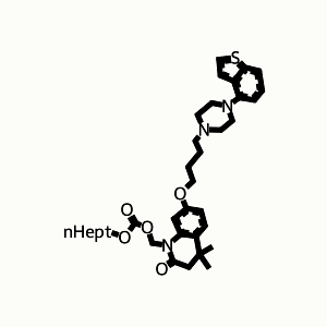 CCCCCCCOC(=O)OCN1C(=O)CC(C)(C)c2ccc(OCCCCN3CCN(c4cccc5sccc45)CC3)cc21